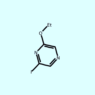 CCOc1cncc(I)n1